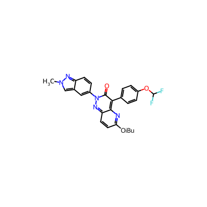 CC(C)COc1ccc2nn(-c3ccc4nn(C)cc4c3)c(=O)c(-c3ccc(OC(F)F)cc3)c2n1